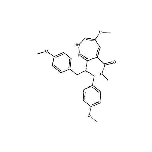 COC(=O)C1=CC(OC)=CNN=C1N(Cc1ccc(OC)cc1)Cc1ccc(OC)cc1